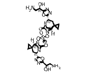 NC[C@@H](O)c1nnc([C@@H]2CC3(CC3)[C@@H]3CN2C(=O)N3OS(=O)(=O)ON2C(=O)N3C[C@H]2C2(CC2)C[C@H]3c2nnc([C@H](O)CN)o2)o1